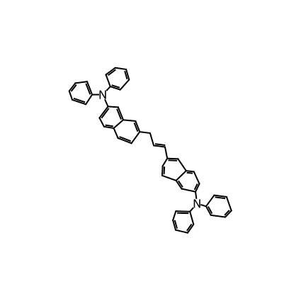 C(=C\c1ccc2cc(N(c3ccccc3)c3ccccc3)ccc2c1)/Cc1ccc2ccc(N(c3ccccc3)c3ccccc3)cc2c1